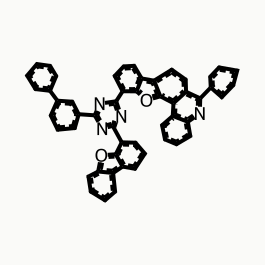 c1ccc(-c2cccc(-c3nc(-c4cccc5c4oc4ccccc45)nc(-c4cccc5c4oc4c5ccc5c(-c6ccccc6)nc6ccccc6c54)n3)c2)cc1